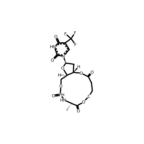 C[C@@H]1N[PH](=O)OC[C@H]2O[C@@H](n3cc(C(F)(F)F)c(=O)[nH]c3=O)C[C@@H]2OC(=O)CCCOC1=O